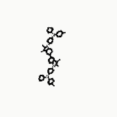 Cc1ccc(N(c2ccccc2)c2ccc(-n3c(C)c(C)c4cc(-c5ccc6c(c5)c(C)c(C)n6-c5ccc(N(c6ccccc6)c6ccc(C)cc6)cc5)ccc43)cc2)cc1